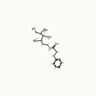 CC(C)CC(C(O)C(CCOC(=O)CCc1ccccc1)C(C)(C)C)C(C)(C)C